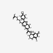 C=C(C)CCCCc1nc2cc(C(=C)NC3CCCc4c(C)cc(F)cc43)ccc2nc1-c1ccc(Cl)cc1